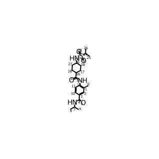 Cc1cc(C(=O)NC(C)C)ccc1NC(=O)C1CCC(NS(=O)(=O)C(C)C)CC1